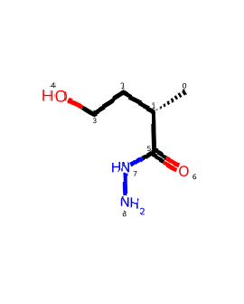 C[C@@H](CCO)C(=O)NN